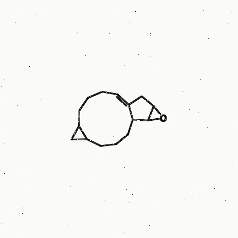 C1=C2/CC3OC3C2CCCC2CC2CCC/1